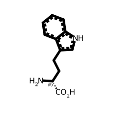 N[C@H](CCc1c[nH]c2ccccc12)C(=O)O